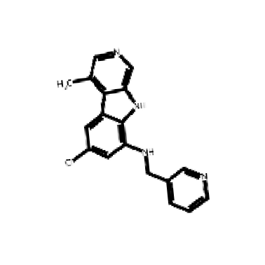 Cc1cncc2[nH]c3c(NCc4cccnc4)cc(Cl)cc3c12